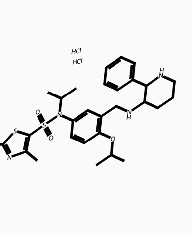 Cc1nc(C)c(S(=O)(=O)N(c2ccc(OC(C)C)c(CNC3CCCNC3c3ccccc3)c2)C(C)C)s1.Cl.Cl